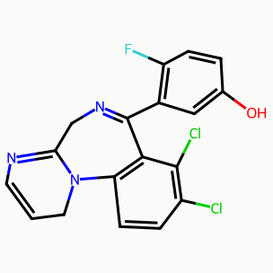 Oc1ccc(F)c(C2=NCC3=NC=CCN3c3ccc(Cl)c(Cl)c32)c1